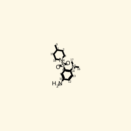 CC1CCN(S(=O)(=O)c2cc(N)ccc2N(C)C)CC1